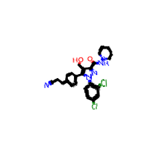 N#CCCc1ccc(-c2c(CO)c(C(=O)NN3CCCCC3)nn2-c2ccc(Cl)cc2Cl)cc1